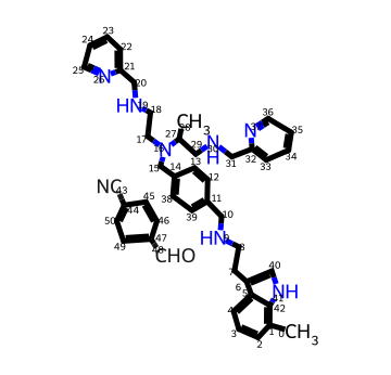 Cc1cccc2c(CCNCc3ccc(CN(CCNCc4ccccn4)C(C)CNCc4ccccn4)cc3)c[nH]c12.N#Cc1ccc(C=O)cc1